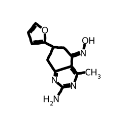 Cc1nc(N)nc2c1C(=NO)CC(c1ccco1)C2